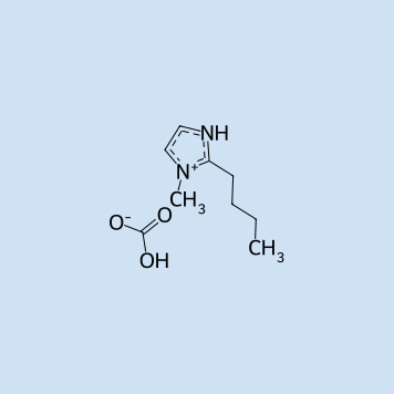 CCCCc1[nH]cc[n+]1C.O=C([O-])O